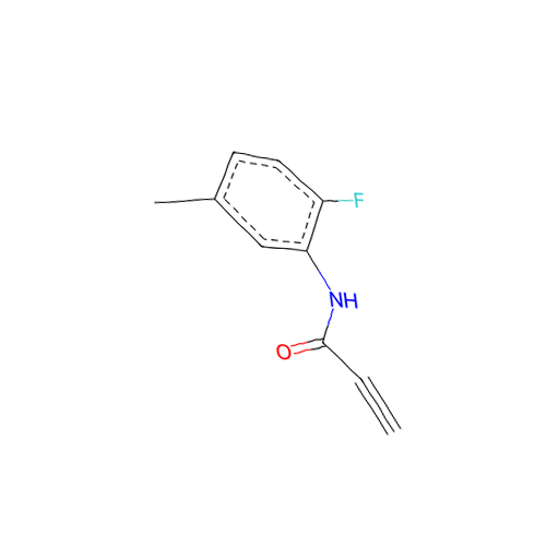 C#CC(=O)Nc1cc(C)ccc1F